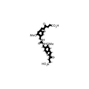 COc1cc2cc(C(=O)CCC(=O)O)sc2cc1CNC(=S)NCc1cc2sc(C(=O)CCC(=O)O)cc2cc1OC